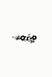 CS(=O)(=O)Nc1ccc(C[C@H](NC2=NS(=O)(=O)c3ccccc32)C(=O)O)cc1